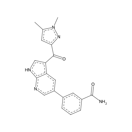 Cc1cc(C(=O)c2c[nH]c3ncc(-c4cccc(C(N)=O)c4)cc23)nn1C